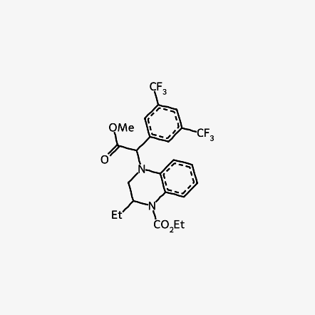 CCOC(=O)N1c2ccccc2N(C(C(=O)OC)c2cc(C(F)(F)F)cc(C(F)(F)F)c2)CC1CC